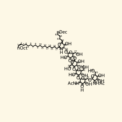 CCCCCCCC/C=C\CCCCCCCCCCCCCCCC(=O)N[C@@H](CO[C@@H]1OC(CO)[C@@H](O[C@@H]2OC(CO)[C@H](O[C@@H]3OC(CO)[C@H](O)[C@H](O[C@@H]4OC(CO[C@@H]5OC(CO)[C@@H](O)[C@H](O)C5NC(C)=O)[C@H](O)[C@H](O)C4NC(C)=O)C3O)[C@H](O)C2O)[C@H](O)C1O)[C@H](O)/C=C/CCCCCCCCCCCCC